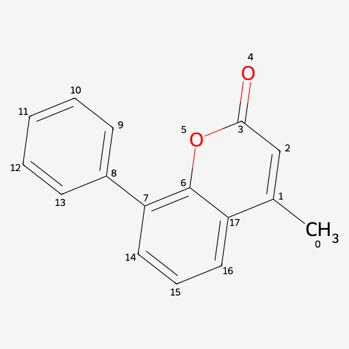 Cc1cc(=O)oc2c(-c3ccccc3)cccc12